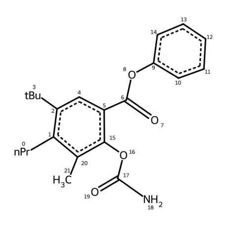 CCCc1c(C(C)(C)C)cc(C(=O)Oc2ccccc2)c(OC(N)=O)c1C